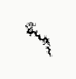 CCCCSc1ccc(C=CC=Cc2ccc(SCCCI)s2)s1